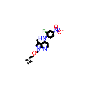 Cc1cn(COCC[Si](C)(C)C)c2nccc(Nc3ccc([N+](=O)[O-])cc3F)c12